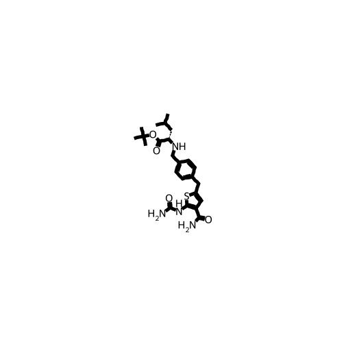 CC(C)C[C@H](NCc1ccc(Cc2cc(C(N)=O)c(NC(N)=O)s2)cc1)C(=O)OC(C)(C)C